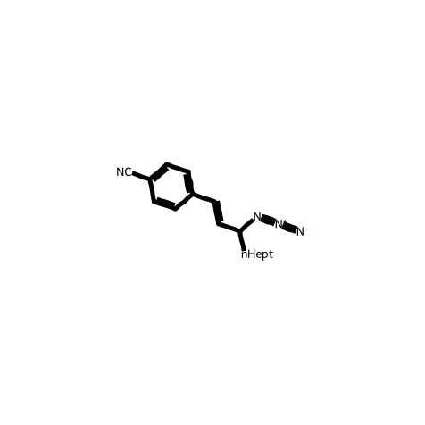 CCCCCCCC(/C=C/c1ccc(C#N)cc1)N=[N+]=[N-]